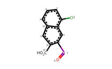 O=Ic1cc2c(Cl)cccc2cc1C(=O)O